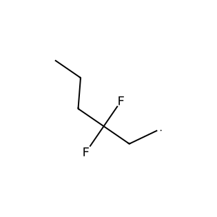 [CH2]CC(F)(F)CCC